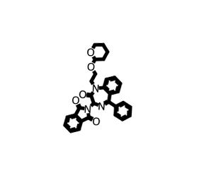 O=C1C(N2C(=O)c3ccccc3C2=O)N=C(c2ccccc2)c2ccccc2N1CCOC1CCCCO1